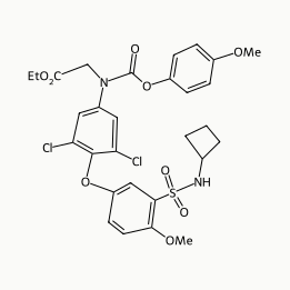 CCOC(=O)CN(C(=O)Oc1ccc(OC)cc1)c1cc(Cl)c(Oc2ccc(OC)c(S(=O)(=O)NC3CCC3)c2)c(Cl)c1